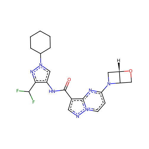 O=C(Nc1cn(C2CCCCC2)nc1C(F)F)c1cnn2ccc(N3C[C@@H]4OCC43)nc12